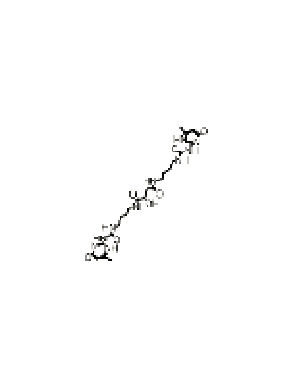 Cc1cc(=O)nc(NC(=O)NCCCCNC(=O)CC(O)C(=O)NCCCCNC(=O)Nc2nc(=O)cc(C)[nH]2)[nH]1